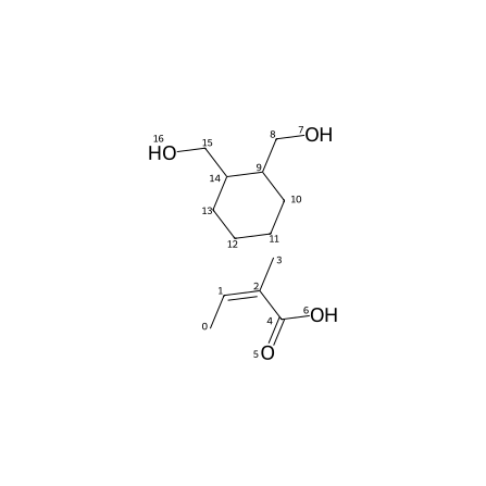 CC=C(C)C(=O)O.OCC1CCCCC1CO